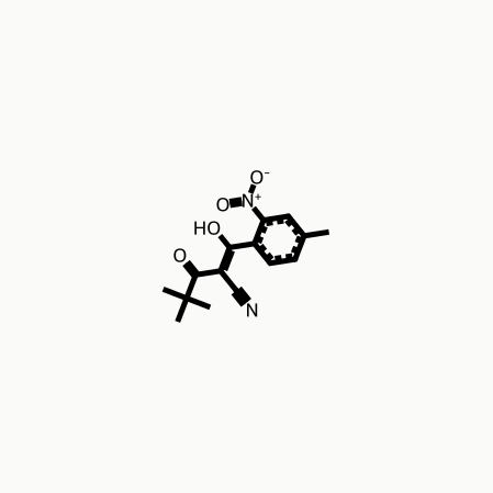 Cc1ccc(/C(O)=C(\C#N)C(=O)C(C)(C)C)c([N+](=O)[O-])c1